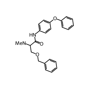 CNC(COCc1ccccc1)C(=O)Nc1ccc(Oc2ccccc2)cc1